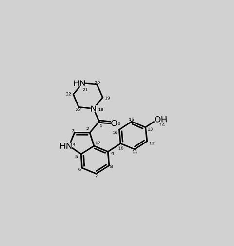 O=C(c1c[nH]c2cccc(-c3ccc(O)cc3)c12)N1CCNCC1